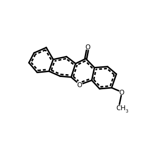 COc1ccc2c(=O)c3cc4ccccc4cc3oc2c1